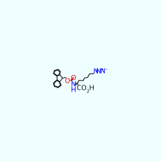 [N-]=[N+]=NCCCCCC[C@@H](NC(=O)OCC1c2ccccc2-c2ccccc21)C(=O)O